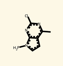 Cc1nc(Cl)nc2c1ccn2P